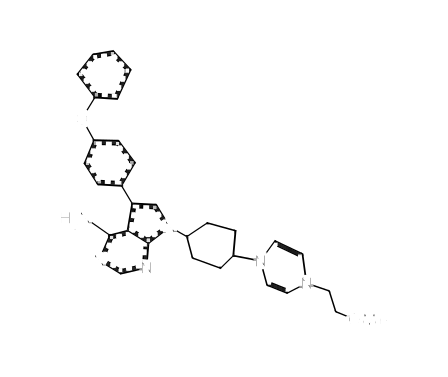 COCCN1C=CN(C2CCC(n3cc(-c4ccc(Oc5ccccc5)cc4)c4c(N)ncnc43)CC2)C=C1